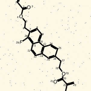 C=CC(=O)OCCc1ccc2c(ccc3cc(CCOC(=O)C(=C)C)ccc32)c1F